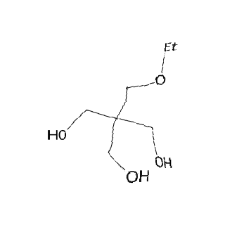 CCOCC(CO)(CO)CO